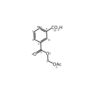 CC(=O)OCOC(=O)c1ccnc(C(=O)O)c1